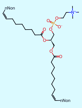 CCCCCCCCC/C=C\CCCCCCC(=O)OC[C@H](COP(=O)([O-])OCC[N+](C)(C)C)OC(=O)CCCCCC/C=C\CCCCCCCCC